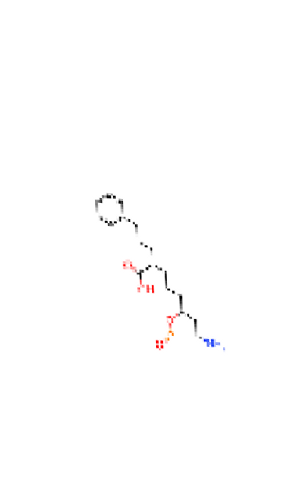 NCCC(CCCC(CCCc1ccccc1)C(=O)O)OP=O